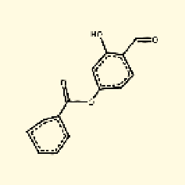 O=Cc1ccc(OC(=O)c2ccccc2)cc1O